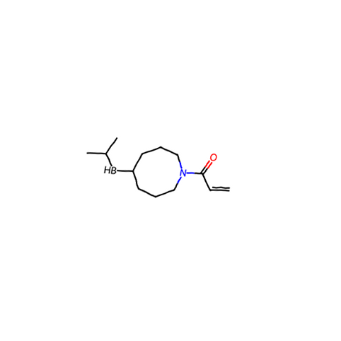 C=CC(=O)N1CCCC(BC(C)C)CCC1